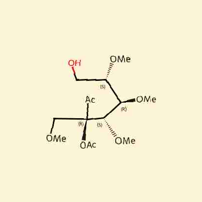 COC[C@](OC(C)=O)(C(C)=O)[C@@H](OC)[C@H](OC)[C@H](CO)OC